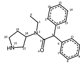 CCN(C(=O)C(c1ccccc1)c1ccccc1)C1CCNC1